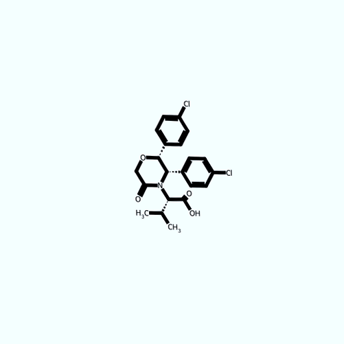 CC(C)[C@@H](C(=O)O)N1C(=O)CO[C@H](c2ccc(Cl)cc2)[C@@H]1c1ccc(Cl)cc1